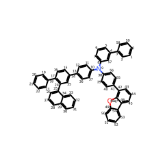 c1ccc(-c2cccc(N(c3ccc(-c4ccc(-c5ccccc5)c(-c5cccc6ccccc56)c4)cc3)c3ccc(-c4cccc5c4oc4ccccc45)cc3)c2)cc1